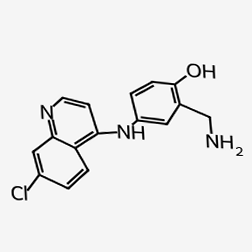 NCc1cc(Nc2ccnc3cc(Cl)ccc23)ccc1O